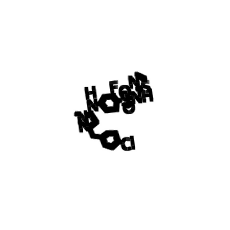 Cn1nc(Cc2ccc(Cl)cc2)cc1Nc1ccc(S(=O)(=O)Nc2nccs2)c(F)c1